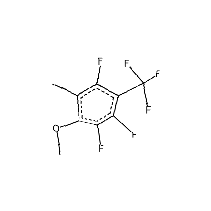 COc1c(C)c(F)c(C(F)(F)F)c(F)c1F